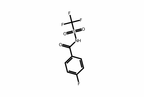 O=C(NS(=O)(=O)C(F)(F)F)c1ccc(F)cc1